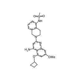 COc1cc(OC2CCC2)c2c(N)cc(N3CCc4c(cccc4NS(C)(=O)=O)C3)nc2c1